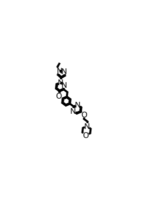 CCn1cc(-n2ccc(=O)c(Cc3cccc(-c4ncc(OCCN5CCOCC5)cn4)c3)n2)cn1